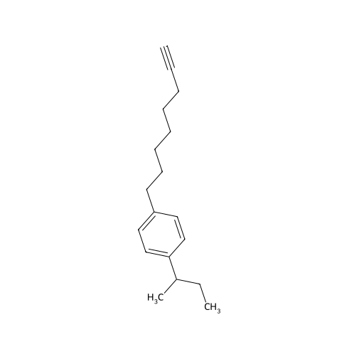 [C]#CCCCCCCc1ccc(C(C)CC)cc1